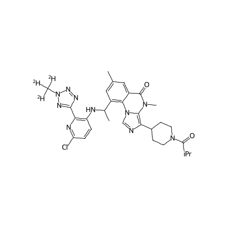 [2H]C([2H])([2H])n1nnc(-c2nc(Cl)ccc2NC(C)c2cc(C)cc3c(=O)n(C)c4c(C5CCN(C(=O)C(C)C)CC5)ncn4c23)n1